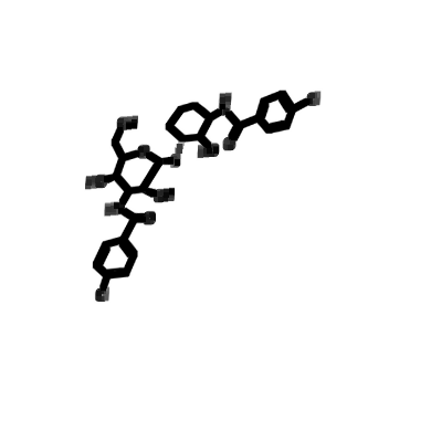 O=C(NC1CCC[C@@H](S[C@@H]2OC(CO)[C@H](O)C(NC(=O)c3ccc(Cl)cc3)[C@@H]2O)C1O)c1ccc(Cl)cc1